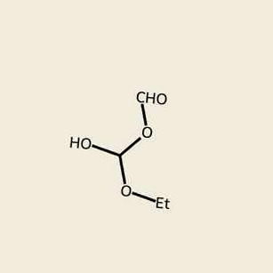 CCOC(O)OC=O